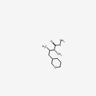 CC(CC1CCCOC1)N(C)C(=O)ON